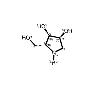 [2H]N1C[C@H](O)[C@H](O)[C@H]1CO